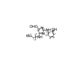 CC(C)(C)CC(C)(C)Nc1cc(C=O)nc(Nc2ccccc2O)n1